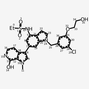 CCS(=O)(=O)Nc1cc(-c2cn(C)c3c(O)nccc23)cc2c1ccn2Cc1cc(Cl)cc(OCCO)c1